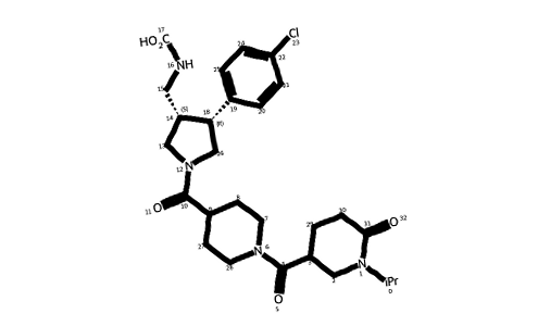 CC(C)N1CC(C(=O)N2CCC(C(=O)N3C[C@H](CNC(=O)O)[C@H](c4ccc(Cl)cc4)C3)CC2)CCC1=O